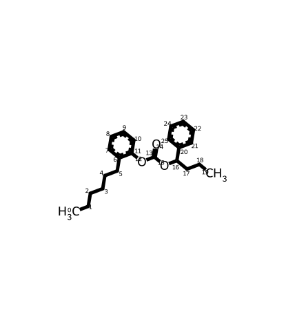 CCCCCCc1ccccc1OC(=O)OC(CCC)c1ccccc1